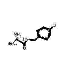 CC[C@H](C)[C@H](N)C(=O)NCc1ccc(Cl)cc1